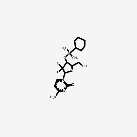 C[Si](C)(OC1C(CO)OC(n2ccc(N)nc2=O)C1(F)F)C1CCCCC1